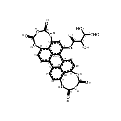 O=CC(O)C(O)C(=O)Oc1cc2c3c(ccc4c5ccc6c7c(ccc(c1c34)c75)OC(=O)OC(=O)O6)OC(=O)OC(=O)O2